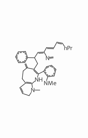 C=N/C(C=C/C=C\CCC)=C\C(C/C1=C(\c2ccccc2NC)NC2=C(C=CCN2C)CCC1=C)c1ccccc1